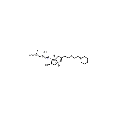 CCCC[C@H](C)C[C@H](O)/C=C/[C@@H]1[C@H]2CC(CCSCCN3CCCCC3)=C[C@H]2C[C@H]1O